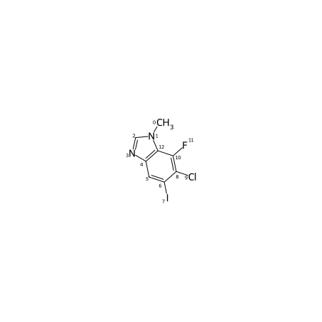 Cn1cnc2cc(I)c(Cl)c(F)c21